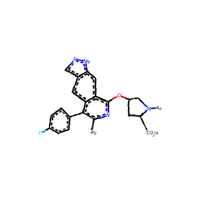 CC(=O)N1CC(Oc2nc(C(C)C)c(-c3ccc(F)cc3)c3cc4cn[nH]c4cc23)CC1C(=O)O